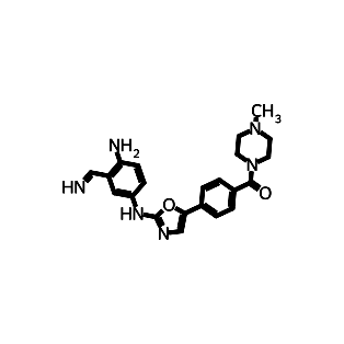 CN1CCN(C(=O)c2ccc(-c3cnc(Nc4ccc(N)c(C=N)c4)o3)cc2)CC1